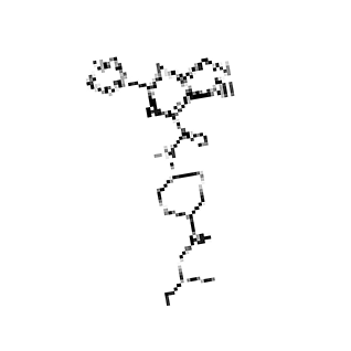 O=C(N[C@H]1CC[C@H](NCC(F)F)CC1)c1nc(-n2ccnc2)nc2cn[nH]c12